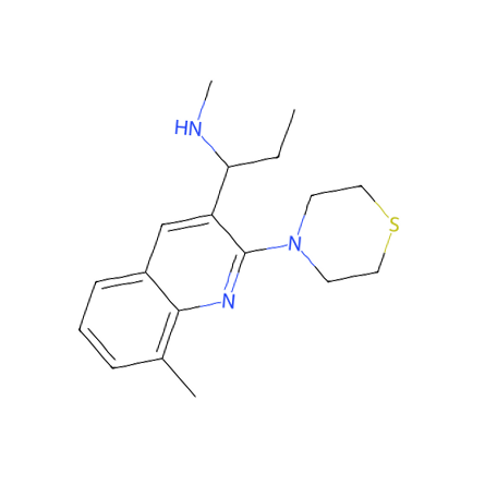 CCC(NC)c1cc2cccc(C)c2nc1N1CCSCC1